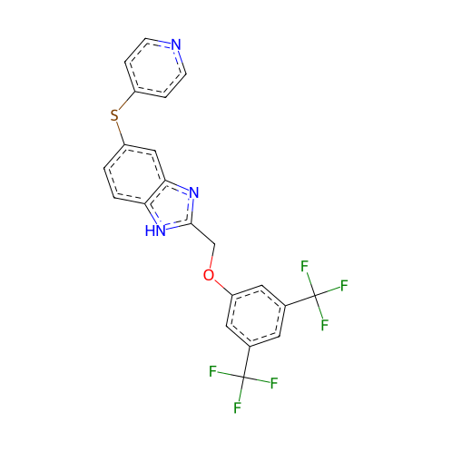 FC(F)(F)c1cc(OCc2nc3cc(Sc4ccncc4)ccc3[nH]2)cc(C(F)(F)F)c1